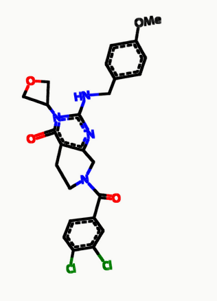 COc1ccc(CNc2nc3c(c(=O)n2C2COC2)CCN(C(=O)c2ccc(Cl)c(Cl)c2)C3)cc1